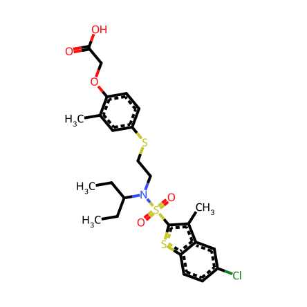 CCC(CC)N(CCSc1ccc(OCC(=O)O)c(C)c1)S(=O)(=O)c1sc2ccc(Cl)cc2c1C